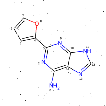 Nc1nc(-c2ccco2)nc2[nH]cnc12